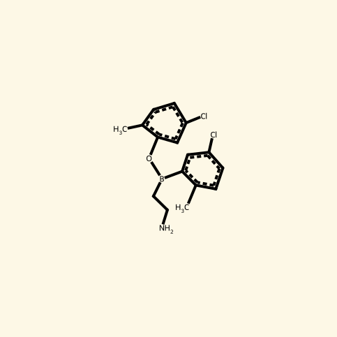 Cc1ccc(Cl)cc1OB(CCN)c1cc(Cl)ccc1C